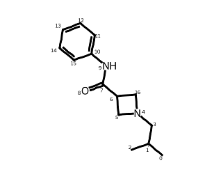 C[C](C)CN1CC(C(=O)Nc2ccccc2)C1